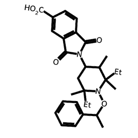 CCC1(C)CC(N2C(=O)c3ccc(C(=O)O)cc3C2=O)C(C)C(C)(CC)N1OC(C)c1ccccc1